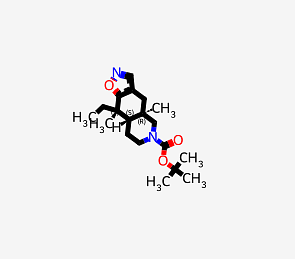 CC[C@]1(C)c2oncc2C[C@@]2(C)CN(C(=O)OC(C)(C)C)CC[C@@H]21